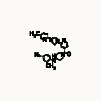 Cc1ccc(N2CCN(c3cc(C(=O)N4CCC(Nc5ccc(C#N)cc5C)CC4)ccn3)CC2)nc1